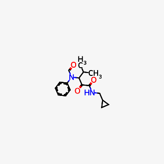 CC(C)C(C(=O)C(=O)NCC1CC1)N(C=O)c1ccccc1